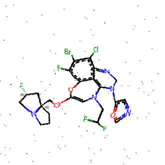 Fc1c(Br)c(Cl)c2c3c1OC(OC[C@@]14CCCN1C[C@H](F)C4)=CN(CC(F)F)C=3N(c1cnco1)CN=2